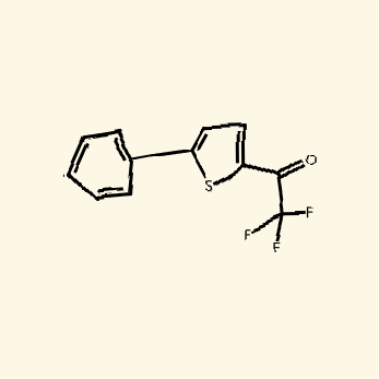 O=C(c1ccc(-c2cc[c]cc2)s1)C(F)(F)F